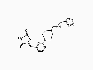 O=C1NC(=O)C(=Cc2ccnc(N3CCC(CNCc4ccoc4)CC3)n2)S1